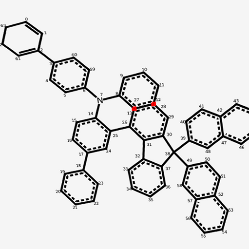 C1=CC(c2ccc(N(c3ccccc3)c3ccc(-c4ccccc4)cc3-c3cccc4c3-c3ccccc3C4(c3ccc4ccccc4c3)c3ccc4ccccc4c3)cc2)=CCC1